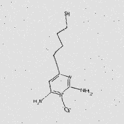 Nc1cc(CCCCS)nc(N)[n+]1[O-]